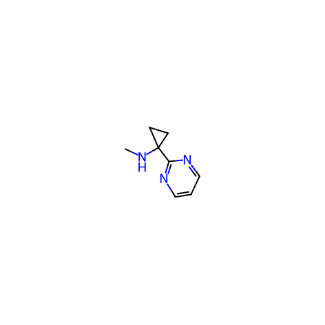 CNC1(c2ncccn2)CC1